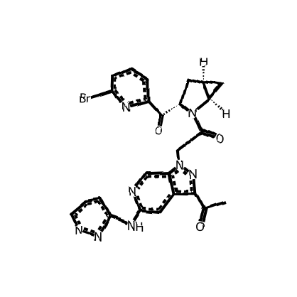 CC(=O)c1nn(CC(=O)N2[C@@H]3C[C@@H]3C[C@H]2C(=O)c2cccc(Br)n2)c2cnc(Nc3cccnn3)cc12